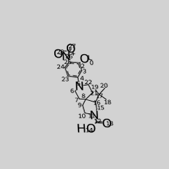 COc1cc(N2CCC3(CCN(C(=O)O)CC3C(C)(C)C)CC2)ccc1[N+](=O)[O-]